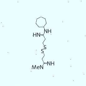 CNC(=N)CCSSCCC(=N)NC1CCCCCC1